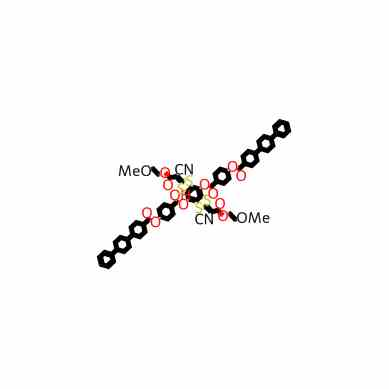 COCCOC(=O)/C(C#N)=C1\Sc2c(OC(=O)C3CCC(OC(=O)C4CCC(C5CCC(c6ccccc6)CC5)CC4)CC3)c3c(c(OC(O)C4CCC(OC(=O)C5CCC(C6CCC(c7ccccc7)CC6)CC5)CC4)c2S1)S/C(=C(/C#N)C(=O)OCCOC)S3